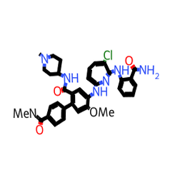 CNC(=O)c1ccc(-c2cc(OC)c(NC3=C=CC=C(Cl)C(Nc4ccccc4C(N)=O)=N3)cc2C(=O)NC2CCN(C)CC2)cc1